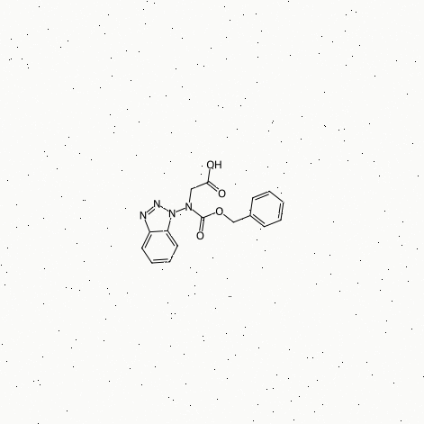 O=C(O)CN(C(=O)OCc1ccccc1)n1nnc2ccccc21